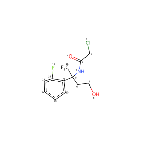 O=C(CCl)NC(CCO)(c1ccccc1F)C(F)(F)F